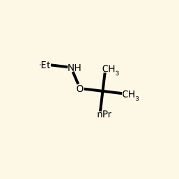 C[CH]NOC(C)(C)CCC